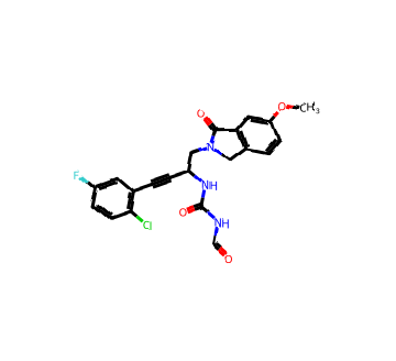 COc1ccc2c(c1)C(=O)N(CC(C#Cc1cc(F)ccc1Cl)NC(=O)NC=O)C2